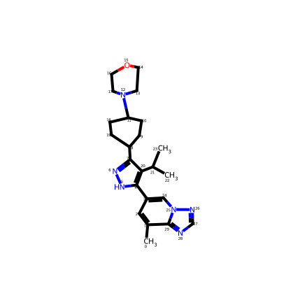 Cc1cc(-c2[nH]nc(C3CCC(N4CCOCC4)CC3)c2C(C)C)cn2ncnc12